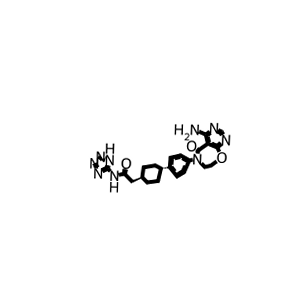 Nc1ncnc2c1C(=O)N(c1ccc([C@H]3CC[C@H](CC(=O)Nc4nnn[nH]4)CC3)cc1)CCO2